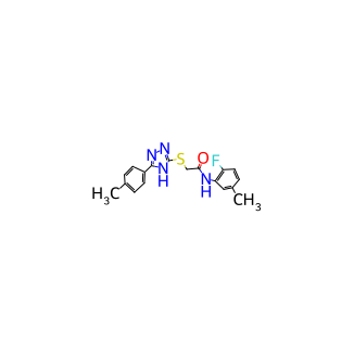 Cc1ccc(-c2nnc(SCC(=O)Nc3cc(C)ccc3F)[nH]2)cc1